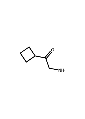 [NH]CC(=O)C1CCC1